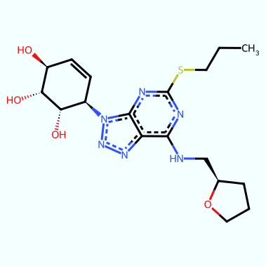 CCCSc1nc(NC[C@H]2CCCO2)c2nnn([C@@H]3C=C[C@H](O)[C@@H](O)[C@H]3O)c2n1